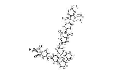 Cc1ccc2c(c1)C(C)(C)CC2(C)c1ccc(N2C(=O)c3ccc(Oc4ccc(C5(c6ccc(Oc7ccc8c(c7)C(=O)N(C)C8=O)cc6)c6ccccc6-c6ccccc65)cc4)cc3C2=O)cc1